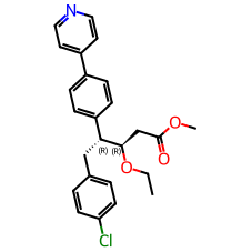 CCO[C@H](CC(=O)OC)[C@H](Cc1ccc(Cl)cc1)c1ccc(-c2ccncc2)cc1